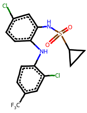 O=S(=O)(Nc1cc(Cl)ccc1Nc1ccc(C(F)(F)F)cc1Cl)C1CC1